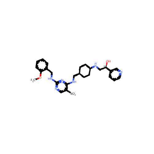 O=[N+]([O-])c1cnc(NCc2ccccc2OC(F)(F)F)nc1NCC1CCC(NC[C@@H](O)c2cccnc2)CC1